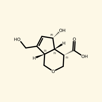 O=C(O)[C@@H]1COC[C@@H]2C(CO)=C[C@H](O)[C@@H]21